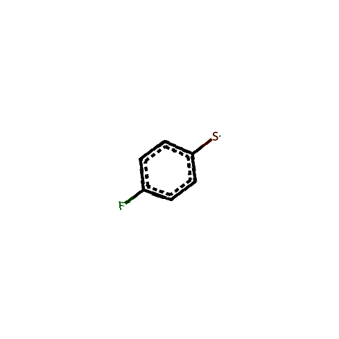 Fc1ccc([S])cc1